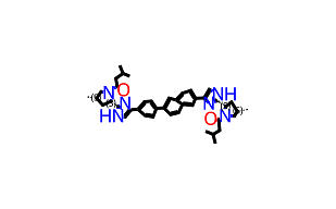 CC(C)CC(=O)N1C[C@@H](C)C[C@H]1c1nc(-c2ccc(-c3ccc4cc(-c5c[nH]c([C@@H]6C[C@H](C)CN6C(=O)CC(C)C)n5)ccc4c3)cc2)c[nH]1